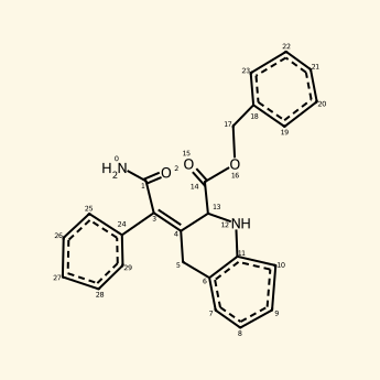 NC(=O)/C(=C1/Cc2ccccc2NC1C(=O)OCc1ccccc1)c1ccccc1